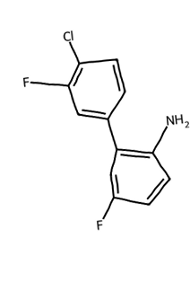 Nc1ccc(F)cc1-c1ccc(Cl)c(F)c1